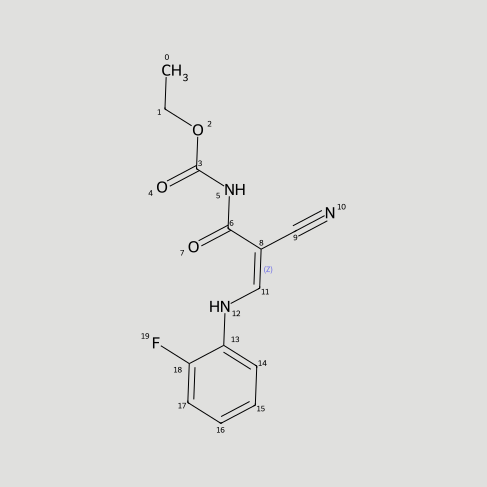 CCOC(=O)NC(=O)/C(C#N)=C\Nc1ccccc1F